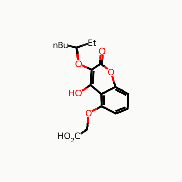 CCCCC(CC)Oc1c(O)c2c(OCC(=O)O)cccc2oc1=O